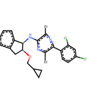 CCc1nc(-c2ccc(Cl)cc2Cl)c(CC)nc1N[C@@H]1c2ccccc2C[C@@H]1OCC1CC1